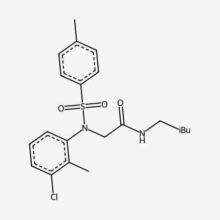 CCC(C)CNC(=O)CN(c1cccc(Cl)c1C)S(=O)(=O)c1ccc(C)cc1